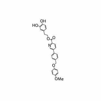 COc1ccc(OCc2ccc(-c3ccc(C(=O)OCCc4ccc(O)c(O)c4)nc3)cc2)cc1